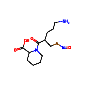 NCCCC(CSN=O)C(=O)N1CCCCC1C(=O)O